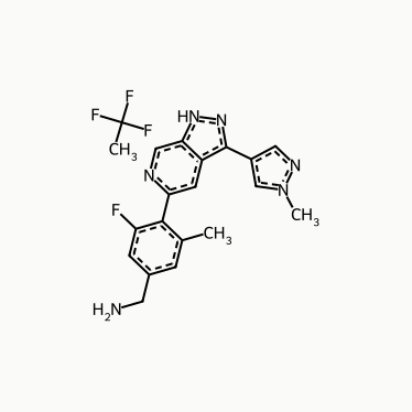 CC(F)(F)F.Cc1cc(CN)cc(F)c1-c1cc2c(-c3cnn(C)c3)n[nH]c2cn1